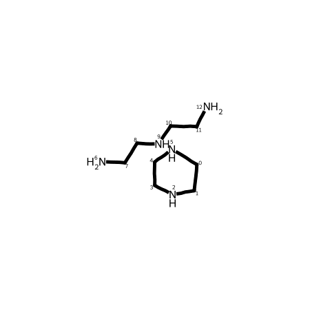 C1CNCCN1.NCCNCCN